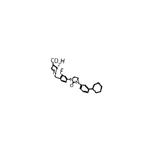 O=C(O)C1CN(Cc2ccc(N3CCN(c4cccc(C5CCCCC5)c4)C3=O)cc2F)C1